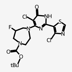 CC(C)(C)OC(=O)N1CCN(c2nc(-c3scnc3Cl)[nH]c(=O)c2Cl)CC(F)C1